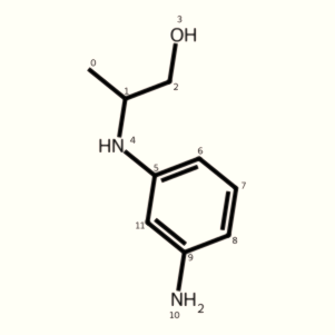 CC(CO)Nc1cccc(N)c1